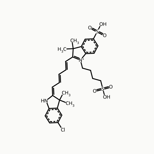 CC1(C)C(/C=C/C=C/C=C2/Nc3ccc(Cl)cc3C2(C)C)=[N+](CCCCS(=O)(=O)O)c2ccc(S(=O)(=O)O)cc21